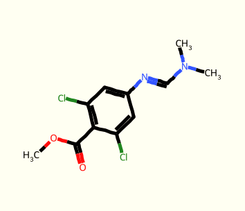 COC(=O)c1c(Cl)cc(N=CN(C)C)cc1Cl